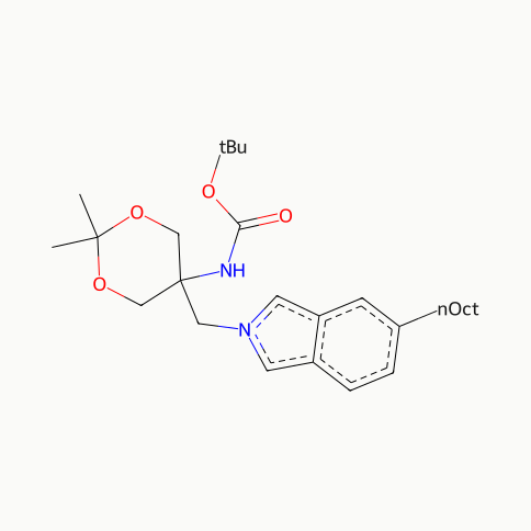 CCCCCCCCc1ccc2cn(CC3(NC(=O)OC(C)(C)C)COC(C)(C)OC3)cc2c1